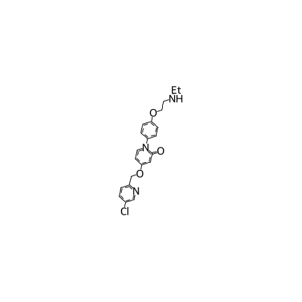 CCNCCOc1ccc(-n2ccc(OCc3ccc(Cl)cn3)cc2=O)cc1